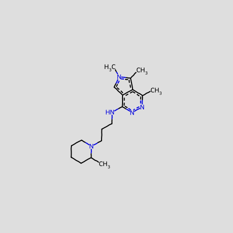 Cc1nnc(NCCCN2CCCCC2C)c2cn(C)c(C)c12